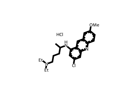 CCN(CC)CCCC(C)Nc1cc(Cl)cc2nc3ccc(OC)cc3cc12.Cl